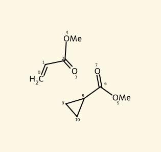 C=CC(=O)OC.COC(=O)C1CC1